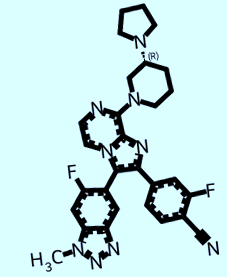 Cn1nnc2cc(-c3c(-c4ccc(C#N)c(F)c4)nc4c(N5CCC[C@@H](N6CCCC6)C5)nccn34)c(F)cc21